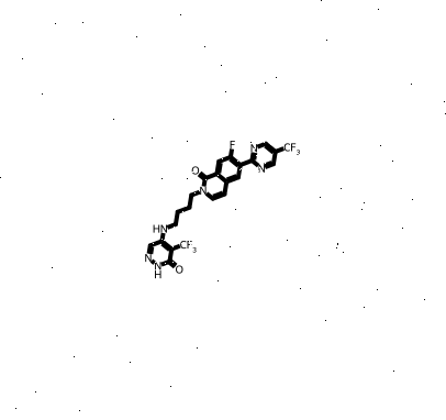 O=c1[nH]ncc(NCCCCn2ccc3cc(-c4ncc(C(F)(F)F)cn4)c(F)cc3c2=O)c1C(F)(F)F